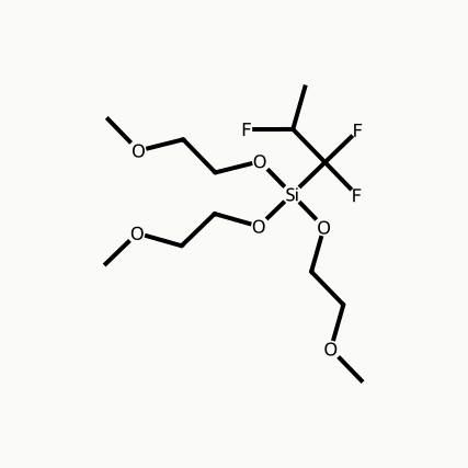 COCCO[Si](OCCOC)(OCCOC)C(F)(F)C(C)F